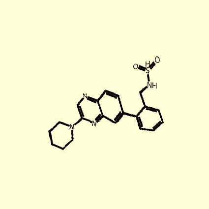 O=[SH](=O)NCc1ccccc1-c1ccc2ncc(N3CCCCC3)nc2c1